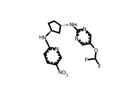 O=[N+]([O-])c1ccc(N[C@H]2CC[C@H](Nc3ncc(OC(F)F)cn3)C2)nc1